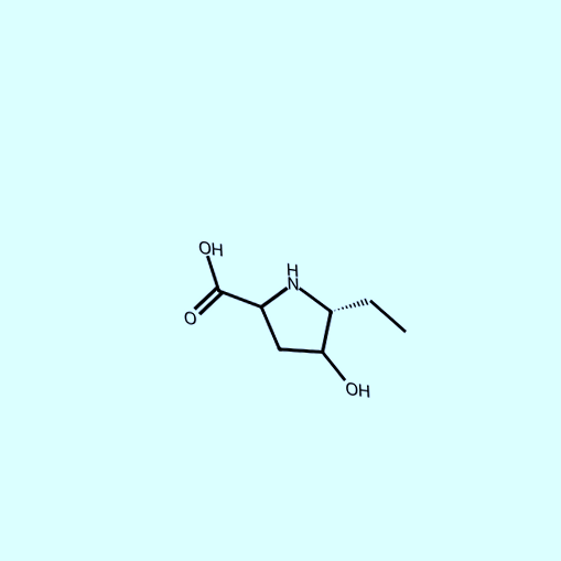 CC[C@H]1NC(C(=O)O)CC1O